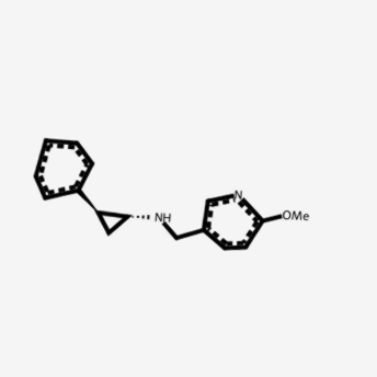 COc1ccc(CN[C@@H]2C[C@H]2c2ccccc2)cn1